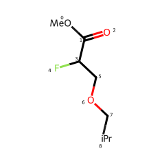 COC(=O)C(F)COCC(C)C